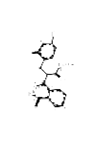 COC(=O)C(Cc1ccc(Br)cc1F)c1n[nH]c(=O)c2ccccc12